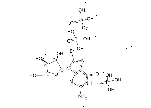 Nc1nc2c(nc(Br)n2[C@@H]2O[C@H](CO)[C@@H](O)[C@H]2O)c(=O)[nH]1.O=P(O)(O)O.O=P(O)(O)O.O=P(O)(O)O